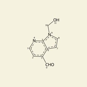 O=Cc1ccnc2c1ccn2CO